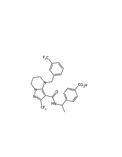 CC(NC(=O)c1c(C(F)(F)F)nn2c1N(Cc1cccc(C(F)(F)F)c1)CCC2)c1ccc(C(=O)O)cc1